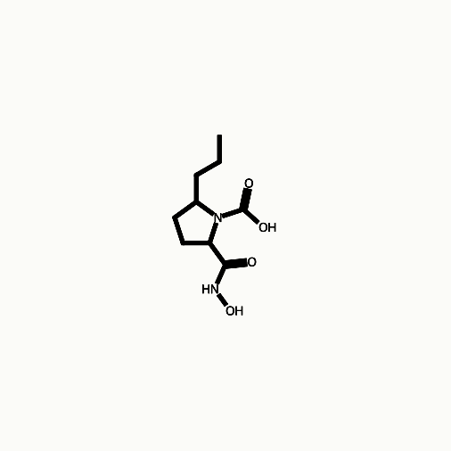 CCCC1CCC(C(=O)NO)N1C(=O)O